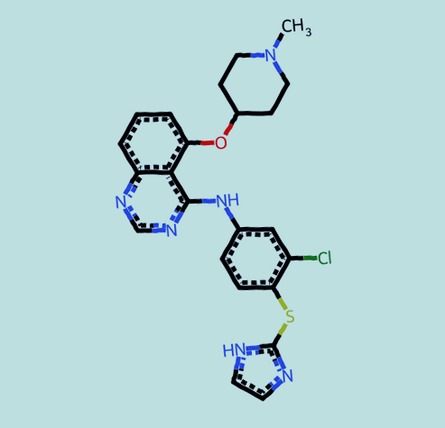 CN1CCC(Oc2cccc3ncnc(Nc4ccc(Sc5ncc[nH]5)c(Cl)c4)c23)CC1